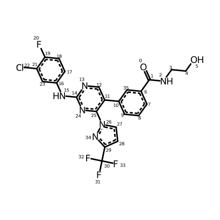 O=C(NCCO)c1cccc(-c2cnc(Nc3ccc(F)c(Cl)c3)nc2-n2ccc(C(F)(F)F)n2)c1